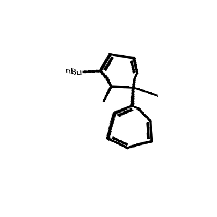 CCCCC1=CC=CC(C)(c2ccccc2)C1C